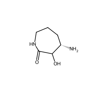 N[C@H]1CCCNC(=O)C1O